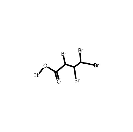 CCOC(=O)C(Br)C(Br)C(Br)Br